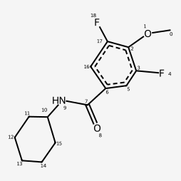 COc1c(F)cc(C(=O)NC2CCCCC2)cc1F